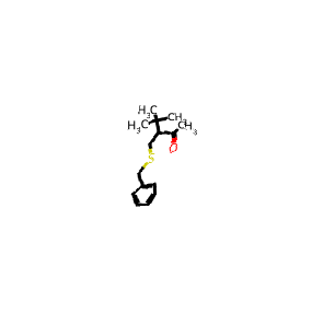 CC(=O)C(CSCc1ccccc1)C(C)(C)C